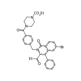 CCOC(=O)N1CCN(C(=O)c2ccc(Cn3c(C(=O)CC)c(-c4ccccc4)c4cc(Br)ccc4c3=O)cc2)CC1